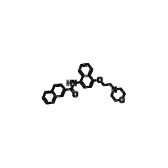 O=C(Nc1ccc(OCCN2CCOCC2)c2ccccc12)c1ccc2ccccc2c1